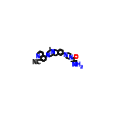 CC1CN(c2ccc(C#N)c3ncccc23)CC2Cc3cc(N4CCN(C(=O)C(C)(C)N)CC4)ccc3CN12